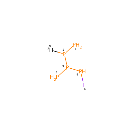 [3H]P(P)P(P)PI